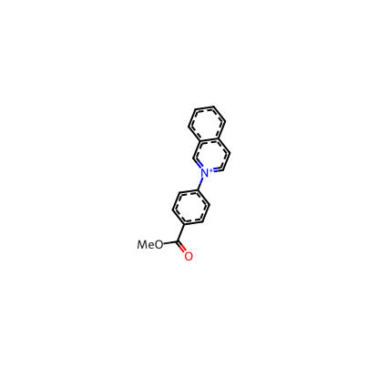 COC(=O)c1ccc(-[n+]2ccc3ccccc3c2)cc1